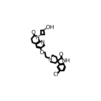 O=C1CCc2cc(OCCN3CCC4(CC3)C(=O)Nc3ccc(Cl)cc34)cnc2N1[C@H]1C[C@H](O)C1